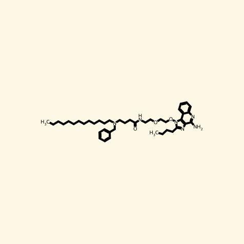 CCCCCCCCCCCCCN(CCCC(=O)NCCOCCOn1c(CCCC)nc2c(N)nc3ccccc3c21)Cc1ccccc1